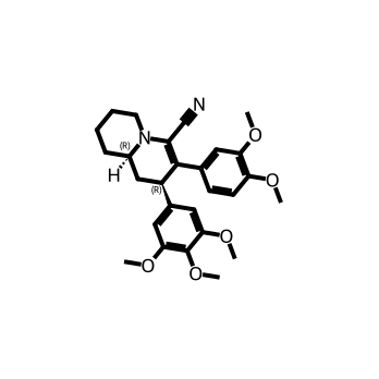 COc1ccc(C2=C(C#N)N3CCCC[C@@H]3C[C@@H]2c2cc(OC)c(OC)c(OC)c2)cc1OC